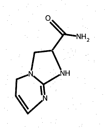 NC(=O)C1CN2CC=CN=C2N1